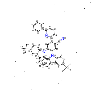 CC(C)(C)c1ccc2c(c1)c1ccccc1n2-c1cc(C#N)c(-c2cccc(-c3ccccc3)n2)cc1-n1c2ccccc2c2cc(C(C)(C)C)ccc21